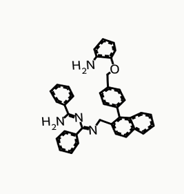 N/C(=N\C(=N/Cc1ccc2ccccc2c1-c1ccc(COc2ccccc2N)cc1)c1ccccc1)c1ccccc1